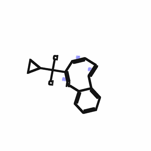 ClC(Cl)(C1=N/c2ccccc2/C=C/C=C\1)C1CC1